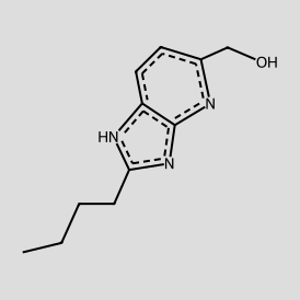 CCCCc1nc2nc(CO)ccc2[nH]1